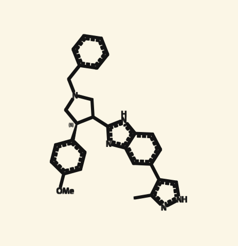 COc1ccc([C@H]2CN(Cc3ccccc3)CC2c2nc3cc(-c4c[nH]nc4C)ccc3[nH]2)cc1